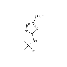 CCOC(=O)c1cnc(NC(C)(C)CC)s1